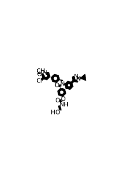 COc1ncc([C@H]2CC[C@H](CN(c3cccc(-c4cnn(C5CC5)c4)c3)C(=O)[C@H]3CC[C@H](OC(=O)NCCO)CC3)CC2)cc1Cl